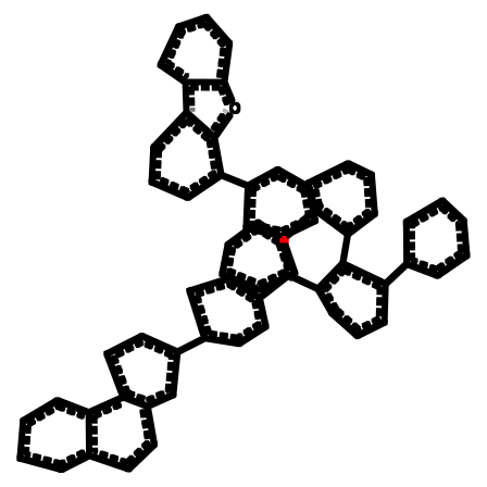 c1ccc(-c2ccccc2-c2c(-c3ccccc3)cccc2N(c2ccc(-c3ccc4c(ccc5ccccc54)c3)cc2)c2cccc(-c3cccc4c3oc3ccccc34)c2)cc1